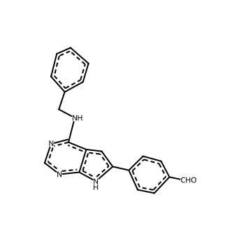 O=Cc1ccc(-c2cc3c(NCc4ccccc4)ncnc3[nH]2)cc1